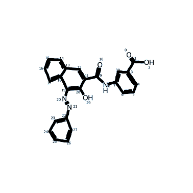 O=C(O)c1cccc(NC(=O)c2cc3ccccc3c(/N=N/c3ccccc3)c2O)c1